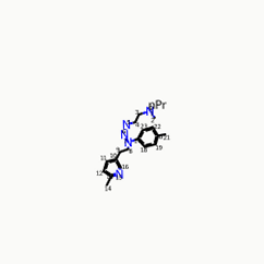 CCCN(C)CC/N=N\N(CCc1ccc(C)nc1)c1ccc(C)cc1